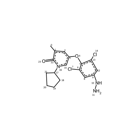 Cc1cc(Oc2c(Cl)cc(NN)cc2Cl)cn(C2CCCC2)c1=O